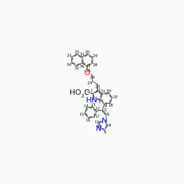 O=C(O)c1[nH]c2c(/C(=C/n3ccnc3)c3ccccc3)cccc2c1CCCOc1cccc2ccccc12